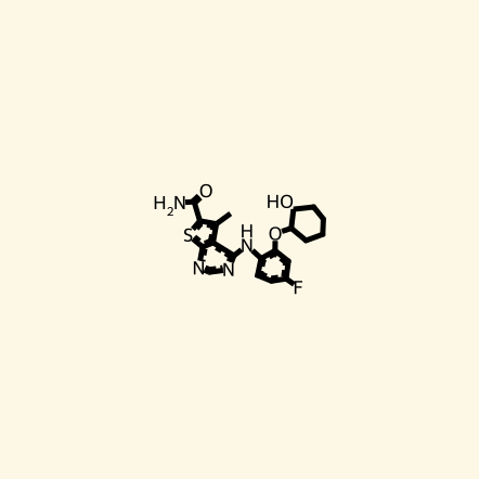 Cc1c(C(N)=O)sc2ncnc(Nc3ccc(F)cc3OC3CCCCC3O)c12